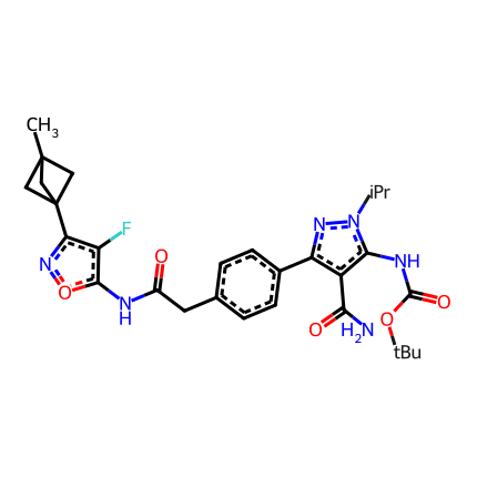 CC(C)n1nc(-c2ccc(CC(=O)Nc3onc(C45CC(C)(C4)C5)c3F)cc2)c(C(N)=O)c1NC(=O)OC(C)(C)C